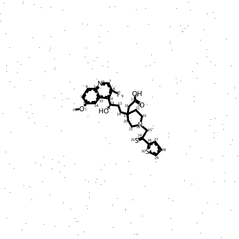 COc1ccc2ncc(F)c([C@H](O)CCC3(CC(=O)O)CCN(CC(=S)c4cccs4)CC3)c2c1